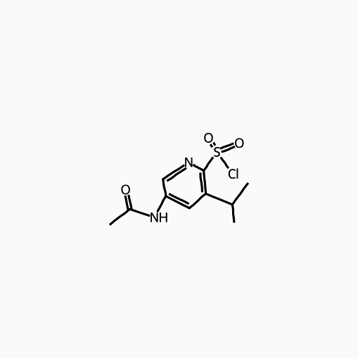 CC(=O)Nc1cnc(S(=O)(=O)Cl)c(C(C)C)c1